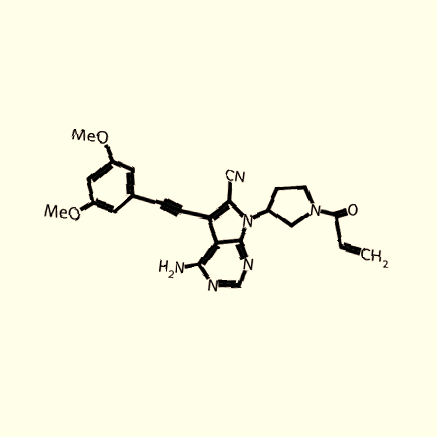 C=CC(=O)N1CCC(n2c(C#N)c(C#Cc3cc(OC)cc(OC)c3)c3c(N)ncnc32)C1